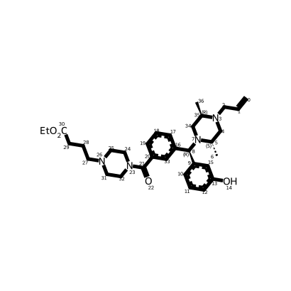 C=CCN1C[C@H](C)N([C@@H](c2cccc(O)c2)c2cccc(C(=O)N3CCN(CCCC(=O)OCC)CC3)c2)C[C@H]1C